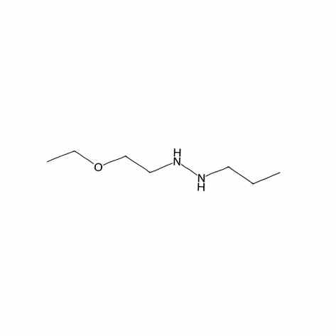 CCCNNCCOCC